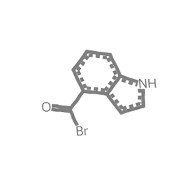 O=C(Br)c1cccc2[nH]ccc12